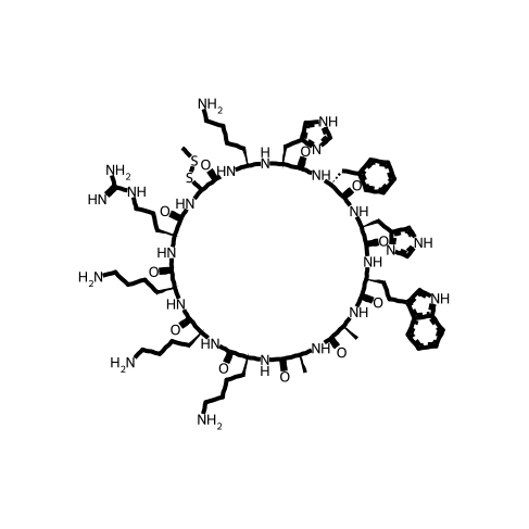 CSSC1NC(=O)[C@H](CCCNC(=N)N)NC(=O)[C@H](CCCCN)NC(=O)[C@H](CCCCN)NC(=O)[C@H](CCCCN)NC(=O)[C@H](C)NC(=O)[C@H](C)NC(=O)[C@H](CCc2c[nH]c3ccccc23)NC(=O)[C@H](Cc2c[nH]cn2)NC(=O)[C@@H](Cc2ccccc2)NC(=O)[C@H](Cc2c[nH]cn2)N[C@H](CCCCN)NC1=O